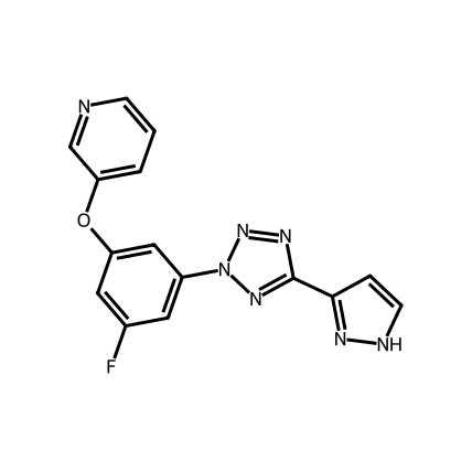 Fc1cc(Oc2cccnc2)cc(-n2nnc(-c3cc[nH]n3)n2)c1